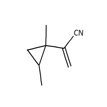 C=C(C#N)C1(C)CC1C